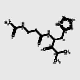 CC(=O)NCCC(=O)N[C@@H](Cc1cnc[nH]1)C(=O)C(C)C